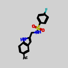 CC(=O)c1ccc2[nH]c(CNS(=O)(=O)c3ccc(F)cc3)cc2c1